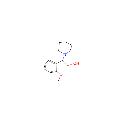 COc1ccccc1C(CO)N1CCCCC1